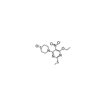 CCOc1nc(SC)nc(N2CC[S+]([O-])CC2)c1[N+](=O)[O-]